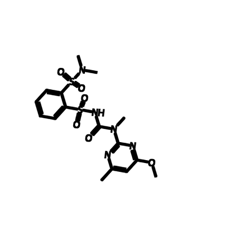 COc1cc(C)nc(N(C)C(=O)NS(=O)(=O)c2ccccc2S(=O)(=O)N(C)C)n1